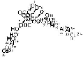 O.O=C([O-])[O-].O=C([O-])[O-].O=C([O-])[O-].O=C([O-])[O-].O=C([O-])[O-].[Al+3].[Al+3].[Al+3].[Cu+2].[Cu+2].[Cu+2].[OH-].[OH-].[OH-].[OH-].[OH-]